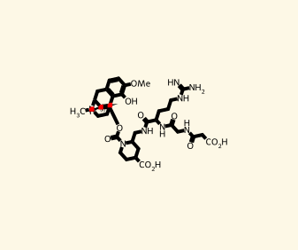 COc1ccc2c(c1O)C13CCN(C)C(C2)[C@@H]1CC=C(OC(=O)N1CCC(C(=O)O)CC1CNC(=O)C(CCCNC(=N)N)NC(=O)CNC(=O)CC(=O)O)C3